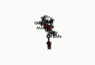 COC(=O)N[C@H](C(=O)N[C@@H](Cc1ccc(C#Cc2cnc(N3CC4CCC(C3)N4C3COC3)nc2)cc1)[C@H](CN(Cc1c(F)cc(-c2ccn(C(F)F)n2)cc1F)NC(=O)[C@@H](NC(=O)OC)C(C)(C)C(F)(F)F)OC(=O)OCOC(=O)CC(C)(C)c1c(OP(=O)(O)O)cc(C(=O)OC(C)(C)C)cc1C(=O)OC(C)(C)C)C(C)(C)C(F)(F)F